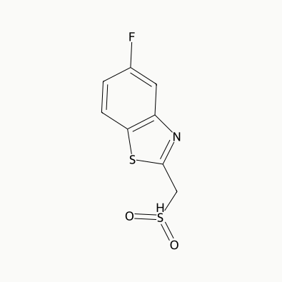 O=[SH](=O)Cc1nc2cc(F)ccc2s1